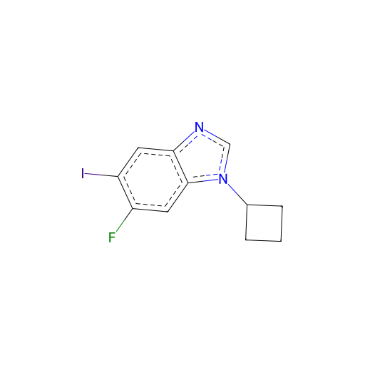 Fc1cc2c(cc1I)ncn2C1CCC1